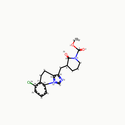 CC(C)(C)OC(=O)N1CCCC(Cc2ncn3c2CCc2c(Cl)cccc2-3)C1=O